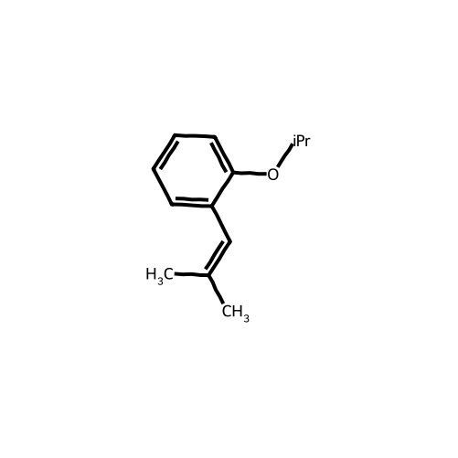 CC(C)=Cc1ccccc1OC(C)C